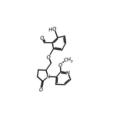 COc1ncccc1N1C(=O)CCC1COc1cccc(O)c1C=O